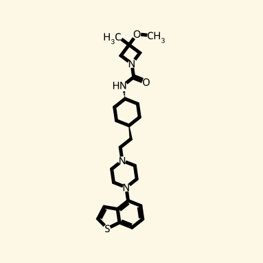 COC1(C)CN(C(=O)N[C@H]2CC[C@H](CCN3CCN(c4cccc5sccc45)CC3)CC2)C1